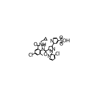 Cc1cc(Cl)cc(C(=O)NCC2CC2)c1NC(=O)C1CC(c2cc(S(=O)(=O)O)ccn2)=NN1c1ncccc1Cl